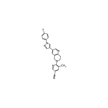 Cc1cc(C#N)cnc1N1CCc2ncc(-c3cnn(-c4ccc(F)cc4)c3)cc2C1